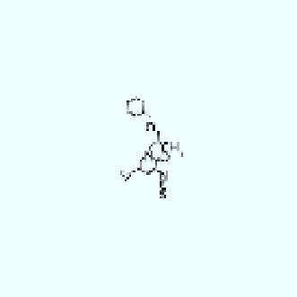 CC(COCc1ccccc1)Cn1cc(C2CC2)cc(N=C=S)c1=O